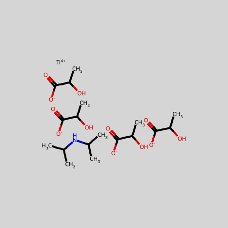 CC(C)NC(C)C.CC(O)C(=O)[O-].CC(O)C(=O)[O-].CC(O)C(=O)[O-].CC(O)C(=O)[O-].[Ti+4]